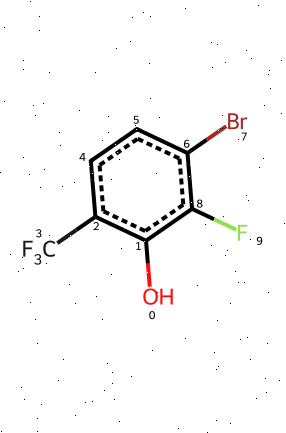 Oc1c(C(F)(F)F)ccc(Br)c1F